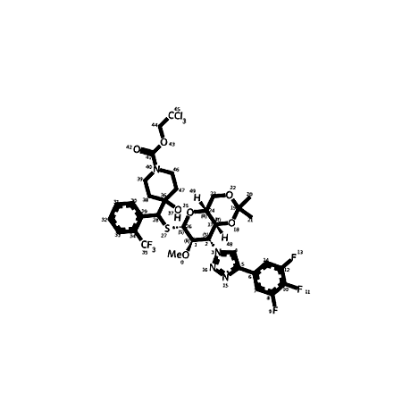 CO[C@@H]1[C@@H](n2cc(-c3cc(F)c(F)c(F)c3)nn2)[C@H]2OC(C)(C)OC[C@H]2O[C@H]1SC(c1ccccc1C(F)(F)F)C1(O)CCN(C(=O)OCC(Cl)(Cl)Cl)CC1